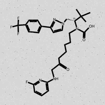 CC(C)(C)[C@@H](Cn1ccc(-c2ccc(C(F)(F)F)cc2)n1)N(CCCCCC(=O)CNc1cccc(F)n1)C(=O)O